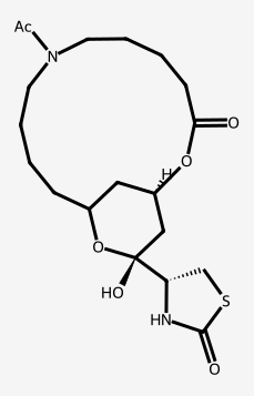 CC(=O)N1CCCCC(=O)O[C@@H]2CC(CCCC1)O[C@@](O)([C@@H]1CSC(=O)N1)C2